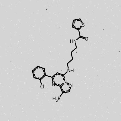 Bc1cnn2c(NCCCCNC(=O)c3cccs3)cc(-c3ccccc3Cl)nc12